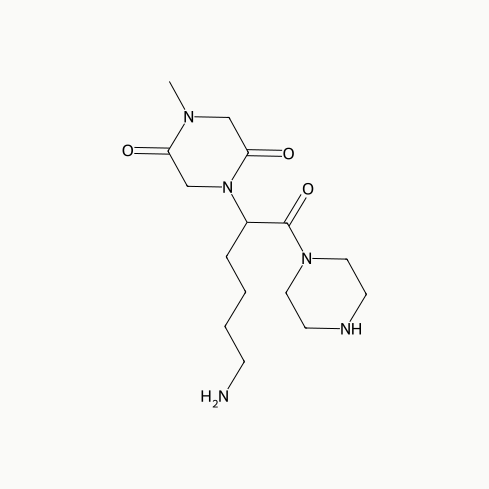 CN1CC(=O)N(C(CCCCN)C(=O)N2CCNCC2)CC1=O